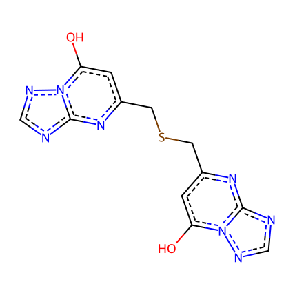 Oc1cc(CSCc2cc(O)n3ncnc3n2)nc2ncnn12